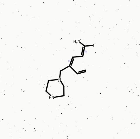 C=C/C(=C\C=C(/N)I)CN1CCNCC1